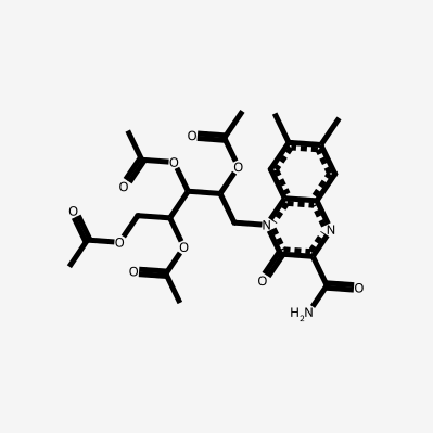 CC(=O)OCC(OC(C)=O)C(OC(C)=O)C(Cn1c(=O)c(C(N)=O)nc2cc(C)c(C)cc21)OC(C)=O